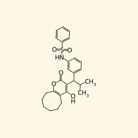 CC(C)C(c1cccc(NS(=O)(=O)c2ccccc2)c1)c1c(O)c2c(oc1=O)CCCCCC2